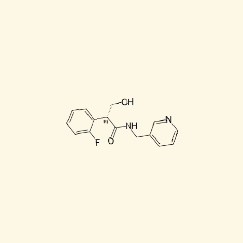 O=C(NCc1cccnc1)[C@@H](CO)c1ccccc1F